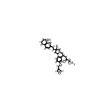 COC(=O)CC(CN1CCC(F)(CCc2ccc3c(n2)NCCC3)C1)c1cccc(OCC2COC2)c1